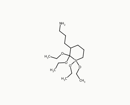 CCOC1(OCC)C(CCCN)CCC[Si]1(OCC)OCC